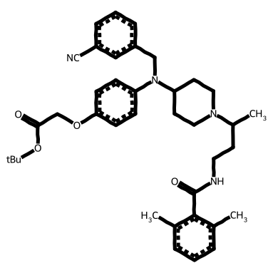 Cc1cccc(C)c1C(=O)NCCC(C)N1CCC(N(Cc2cccc(C#N)c2)c2ccc(OCC(=O)OC(C)(C)C)cc2)CC1